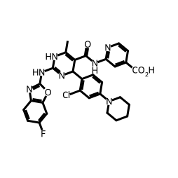 CC1=C(C(=O)Nc2cc(C(=O)O)ccn2)C(c2ccc(N3CCCCC3)cc2Cl)N=C(Nc2nc3ccc(F)cc3o2)N1